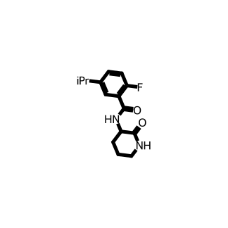 CC(C)c1ccc(F)c(C(=O)NC2CCCNC2=O)c1